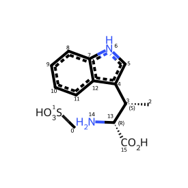 CS(=O)(=O)O.C[C@@H](c1c[nH]c2ccccc12)[C@@H](N)C(=O)O